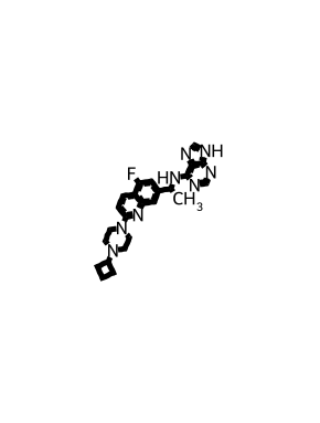 CC(Nc1ncnc2[nH]cnc12)c1cc(F)c2ccc(N3CCN(C4CCC4)CC3)nc2c1